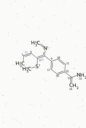 C=N/C(=C(\C=C/C)SC)c1ccc(C(=C)N)cc1